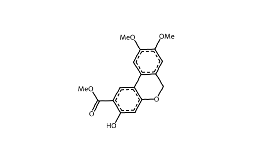 COC(=O)c1cc2c(cc1O)OCc1cc(OC)c(OC)cc1-2